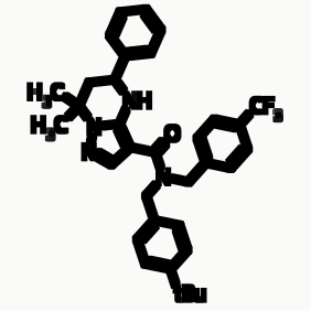 CC(C)(C)c1ccc(CN(Cc2ccc(C(F)(F)F)cc2)C(=O)c2cnn3c2NC(c2ccccc2)CC3(C)C)cc1